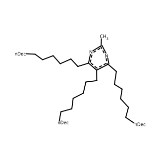 CCCCCCCCCCCCCCCCc1nc(C)nc(CCCCCCCCCCCCCCCC)c1CCCCCCCCCCCCCCCC